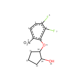 O=[N+]([O-])c1ccc(F)c(F)c1OC1CCCC1O